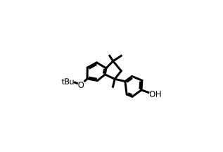 CC(C)(C)Oc1ccc2c(c1)C(C)(c1ccc(O)cc1)CC2(C)C